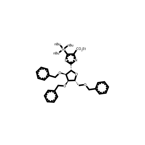 CCC[CH2][Sn]([CH2]CCC)([CH2]CCC)[c]1sc([C@@H]2O[C@H](COCc3ccccc3)[C@@H](OCc3ccccc3)[C@H]2OCc2ccccc2)nc1C(=O)OCC